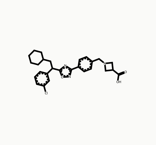 O=C(O)C1CN(Cc2ccc(-c3noc(C(CC4CCCCC4)c4cccc(Cl)c4)n3)cc2)C1